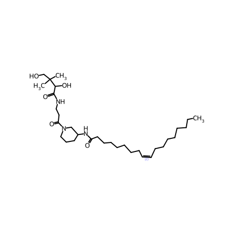 CCCCCCCC/C=C\CCCCCCCC(=O)NC1CCCN(C(=O)CCNC(=O)C(O)C(C)(C)CO)C1